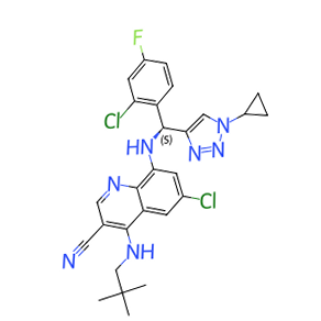 CC(C)(C)CNc1c(C#N)cnc2c(N[C@H](c3cn(C4CC4)nn3)c3ccc(F)cc3Cl)cc(Cl)cc12